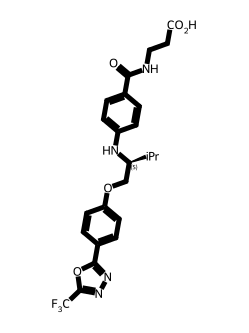 CC(C)[C@@H](COc1ccc(-c2nnc(C(F)(F)F)o2)cc1)Nc1ccc(C(=O)NCCC(=O)O)cc1